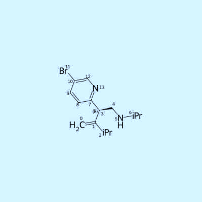 C=C(C(C)C)[C@H](CNC(C)C)c1ccc(Br)cn1